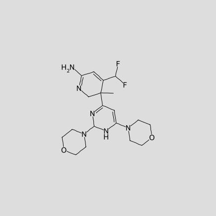 CC1(C2=NC(N3CCOCC3)NC(N3CCOCC3)=C2)CN=C(N)C=C1C(F)F